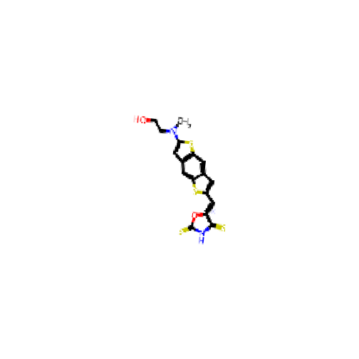 CN(CCO)c1cc2cc3sc(/C=C4\OC(=S)NC4=S)cc3cc2s1